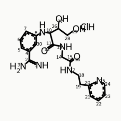 Cl.N=C(N)c1cccc(NC(C(=O)NCC(=O)NCCc2ccccn2)C(O)CO)c1